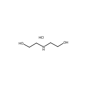 Cl.OCCNCCO